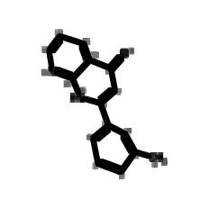 Cc1cccc(-c2cc(=O)c3cccnc3[nH]2)c1